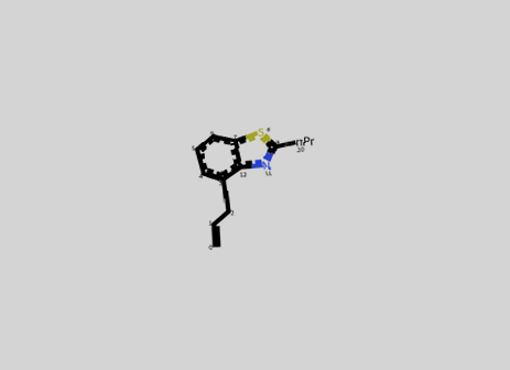 C=CCc1cccc2sc(CCC)nc12